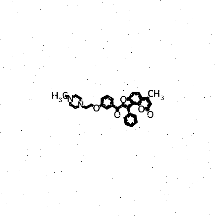 Cc1cc(=O)oc2c1ccc1oc(C(=O)c3cccc(OCCN4CCN(C)CC4)c3)c(-c3ccccc3)c12